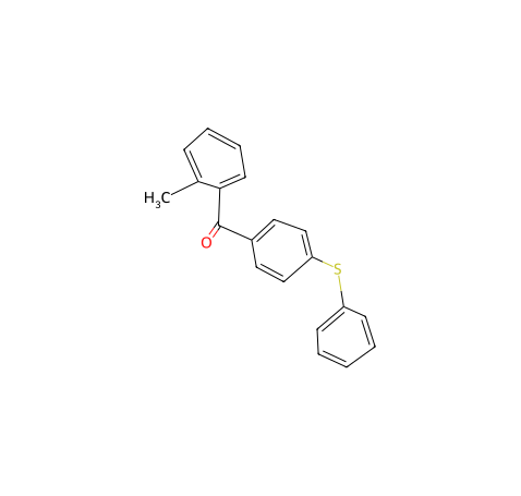 Cc1ccccc1C(=O)c1ccc(Sc2ccccc2)cc1